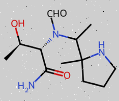 CC(N(C=O)[C@H](C(N)=O)[C@@H](C)O)C1(C)CCCN1